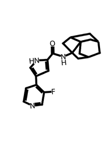 O=C(NC12CC3CC4CC(C1)C2(C4)C3)c1cc(-c2ccncc2F)c[nH]1